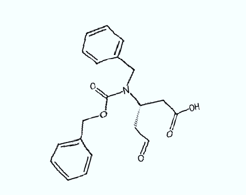 O=CC[C@@H](CC(=O)O)N(Cc1ccccc1)C(=O)OCc1ccccc1